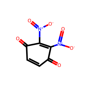 O=C1C=CC(=O)C([N+](=O)[O-])=C1[N+](=O)[O-]